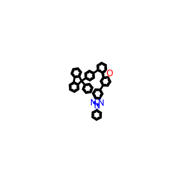 c1ccc(-n2nc3ccc(-c4ccc5oc6cccc(-c7ccc(C8(c9ccccc9)c9ccccc9-c9ccccc98)cc7)c6c5c4)cc3n2)cc1